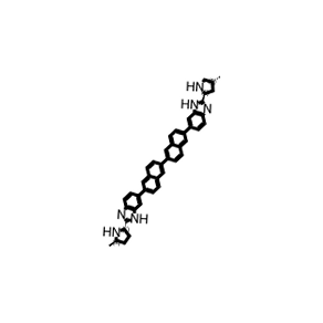 C[C@H]1CN[C@H](c2nc3ccc(-c4ccc5cc(-c6ccc7cc(-c8ccc9nc([C@@H]%10CC[C@@H](C)N%10)[nH]c9c8)ccc7c6)ccc5c4)cc3[nH]2)C1